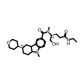 CCNC(=O)CC[C@@H](CO)N(C)C(=O)c1ccc2c(c1)C1C[C@H](C3CCOCC3)CCC1N2C